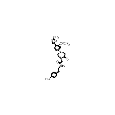 COc1cc(N2CCC(=O)N(CC(=O)NCCc3ccc(O)cc3)CC2)ccc1-c1cnc(C)o1